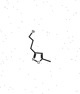 Cc1cc(CCCBr)no1